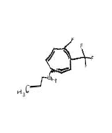 CCCNc1ccc(F)c(C(F)(F)F)c1